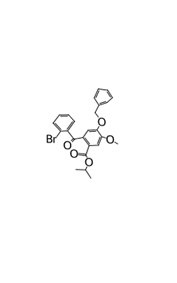 COc1cc(C(=O)OC(C)C)c(C(=O)c2ccccc2Br)cc1OCc1ccccc1